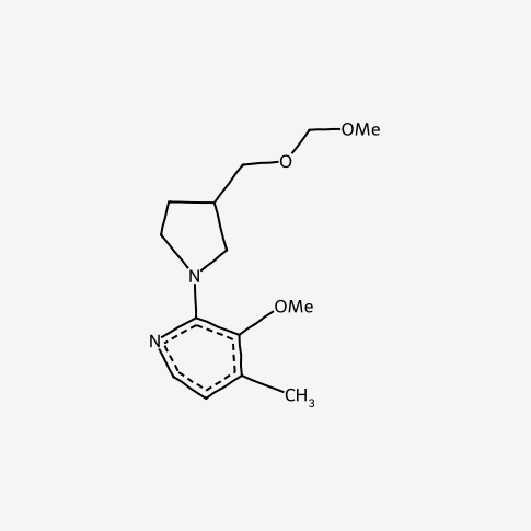 COCOCC1CCN(c2nccc(C)c2OC)C1